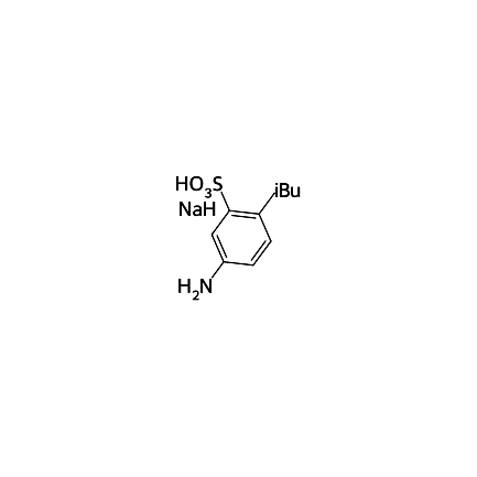 CCC(C)c1ccc(N)cc1S(=O)(=O)O.[NaH]